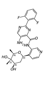 C[C@H]1O[C@@H](c2ccncc2NC(=O)c2nc(-c3c(F)cccc3F)ncc2N)C[C@@H](O)[C@]1(C)O